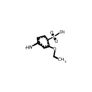 CCOc1cc([NH])ccc1S(=O)(=O)O